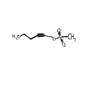 CCCC#CCOS(C)(=O)=O